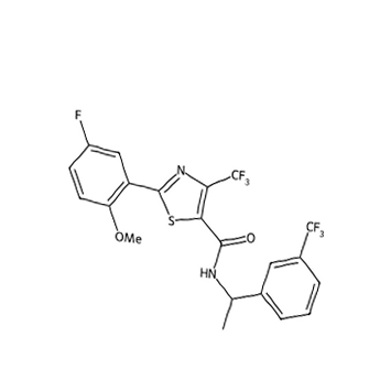 COc1ccc(F)cc1-c1nc(C(F)(F)F)c(C(=O)NC(C)c2cccc(C(F)(F)F)c2)s1